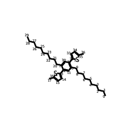 CCCCCCCCCCc1cc(-c2ccc(C)s2)c(CCCCCCCCCC)cc1-c1ccc(C)s1